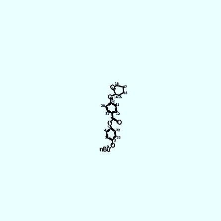 CCCCOc1ccc(OC(=O)c2ccc(OC3CCCCO3)cc2)cc1